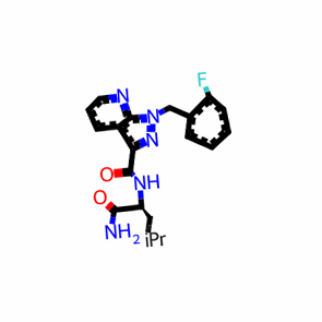 CC(C)C[C@H](NC(=O)c1nn(Cc2ccccc2F)c2ncccc12)C(N)=O